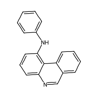 c1ccc(Nc2cccc3ncc4ccccc4c23)cc1